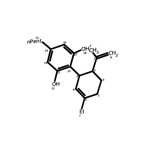 C=C(C)C1CCC(CC)=CC1c1c(O)cc(CCCCC)cc1O